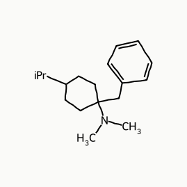 CC(C)C1CCC(Cc2ccccc2)(N(C)C)CC1